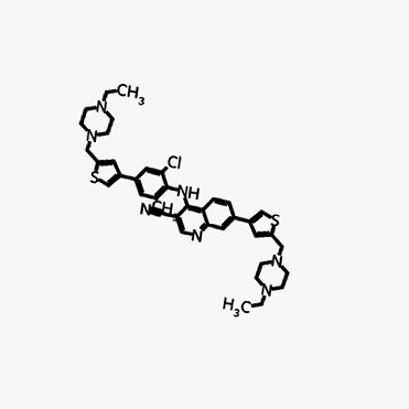 CCN1CCN(Cc2cc(-c3cc(C)c(Nc4c(C#N)cnc5cc(-c6csc(CN7CCN(CC)CC7)c6)ccc45)c(Cl)c3)cs2)CC1